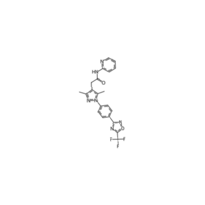 Cc1nn(-c2ccc(-c3noc(C(F)(F)F)n3)cc2)c(C)c1CC(=O)Nc1ccccn1